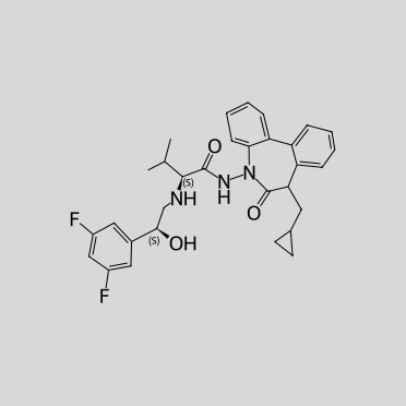 CC(C)[C@H](NC[C@@H](O)c1cc(F)cc(F)c1)C(=O)NN1C(=O)C(CC2CC2)c2ccccc2-c2ccccc21